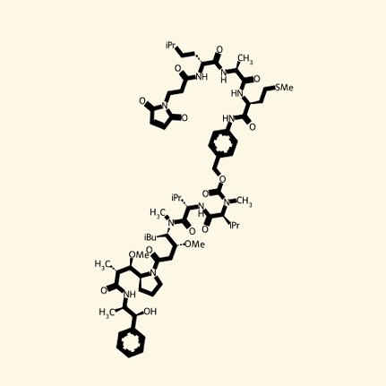 CC[C@H](C)[C@@H]([C@@H](CC(=O)N1CCC[C@H]1[C@H](OC)[C@@H](C)C(=O)N[C@H](C)[C@@H](O)c1ccccc1)OC)N(C)C(=O)[C@@H](NC(=O)[C@H](C(C)C)N(C)C(=O)OCc1ccc(NC(=O)[C@H](CCSC)NC(=O)[C@H](C)NC(=O)[C@@H](CCC(C)C)NC(=O)CCN2C(=O)C=CC2=O)cc1)C(C)C